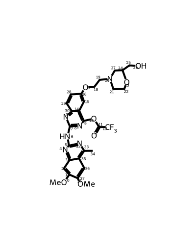 COc1cc2nc(Nc3nc(OC(=O)C(F)(F)F)c4cc(OCCN5CCOC(CO)C5)ccc4n3)nc(C)c2cc1OC